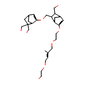 C/C(=C\COCCO)COCCOC1=CC2CC1C(COC1=CC3CC1C(CO)(CO)C3)C2CO